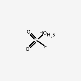 O=S(=O)(O)F.S